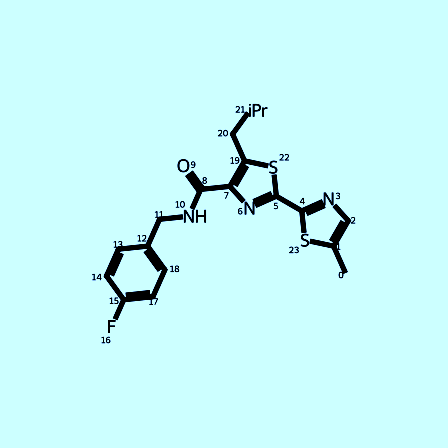 Cc1cnc(-c2nc(C(=O)NCc3ccc(F)cc3)c(CC(C)C)s2)s1